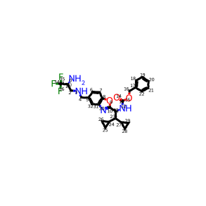 N[C@@H](CNCc1ccc2oc([C@@H](NC(=O)OCc3ccccc3)C(C3CC3)C3CC3)nc2c1)C(F)(F)F